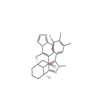 Cc1c(C(=O)N2[C@H]3CCC[C@@H]2c2nn(C)c(-c4cc(F)c(F)c(F)c4)c2C3)ccc2nccn12